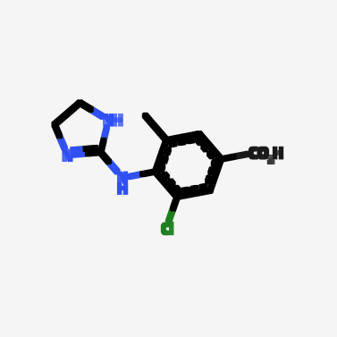 Cc1cc(C(=O)O)cc(Cl)c1NC1=NCCN1